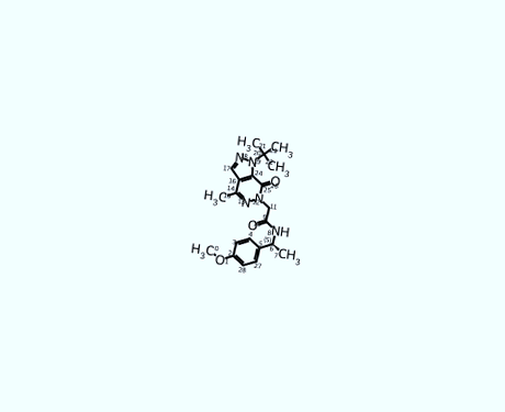 COc1ccc([C@H](C)NC(=O)Cn2nc(C)c3cnn(C(C)(C)C)c3c2=O)cc1